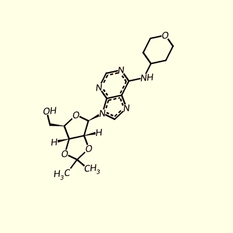 CC1(C)O[C@@H]2[C@H](O1)[C@@H](CO)O[C@H]2n1cnc2c(NC3CCOCC3)ncnc21